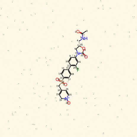 CC(=O)NC[C@H]1CN(c2ccc(-c3ccc(S(=O)(=O)CC4=CC[N+](=O)C=C4)cc3)c(F)c2)C(=O)O1